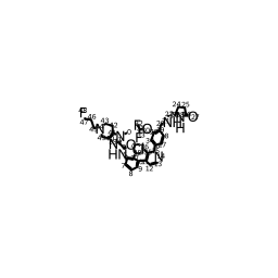 Cn1c(C(=O)Nc2cccc(-c3ccnc(-c4ccc(CNC[C@@H]5CCC(=O)N5)c(OC(F)F)c4)c3Cl)c2Cl)nc2c1CCN(CCCF)C2